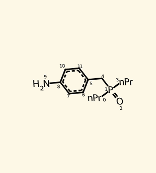 CCCP(=O)(CCC)Cc1ccc(N)cc1